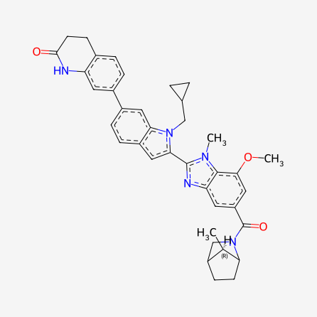 COc1cc(C(=O)N2CC3CCC2[C@@H]3C)cc2nc(-c3cc4ccc(-c5ccc6c(c5)NC(=O)CC6)cc4n3CC3CC3)n(C)c12